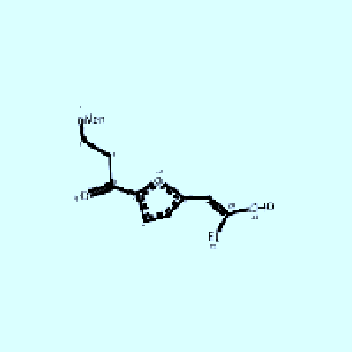 CCCCCCCCCCCC(=O)c1ccc(C=C(C=O)CC)o1